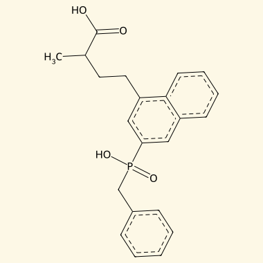 CC(CCc1cc(P(=O)(O)Cc2ccccc2)cc2ccccc12)C(=O)O